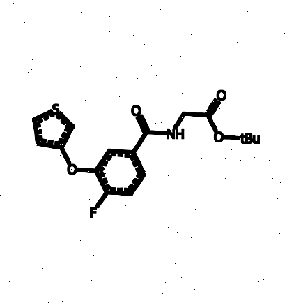 CC(C)(C)OC(=O)CNC(=O)c1ccc(F)c(Oc2ccsc2)c1